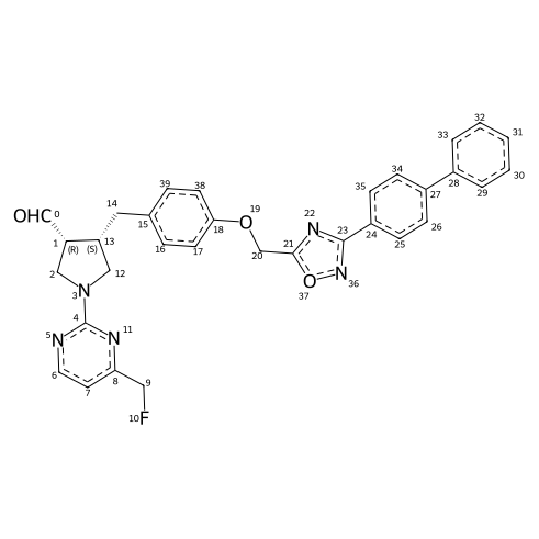 O=C[C@H]1CN(c2nccc(CF)n2)C[C@H]1Cc1ccc(OCc2nc(-c3ccc(-c4ccccc4)cc3)no2)cc1